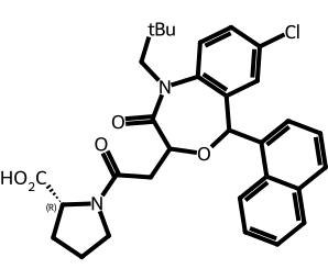 CC(C)(C)CN1C(=O)C(CC(=O)N2CCC[C@@H]2C(=O)O)OC(c2cccc3ccccc23)c2cc(Cl)ccc21